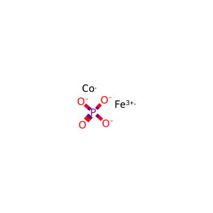 O=P([O-])([O-])[O-].[Co].[Fe+3]